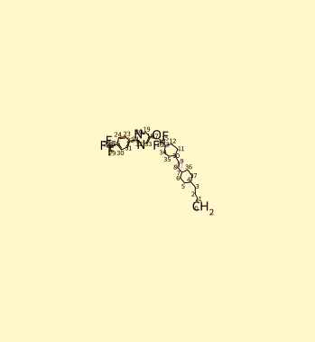 C=CCCC1CCC(/C=C/C2CCC(C(F)(F)Oc3cnc(-c4ccc(C(F)(F)F)cc4)nc3)CC2)CC1